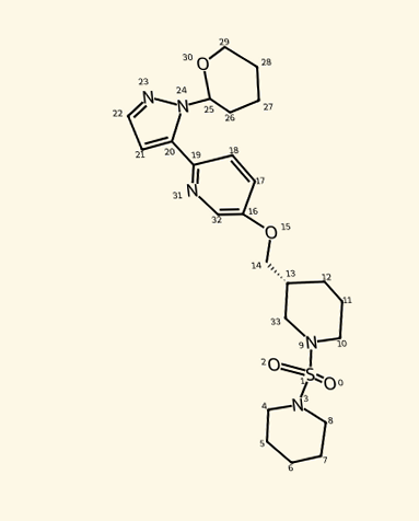 O=S(=O)(N1CCCCC1)N1CCC[C@@H](COc2ccc(-c3ccnn3C3CCCCO3)nc2)C1